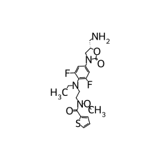 CCN(CCN(OC)C(=O)c1cccs1)c1c(F)cc(N2C[C@H](CN)OC2=O)cc1F